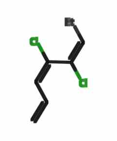 C=C/C=C(Cl)\C(Cl)=C/CC